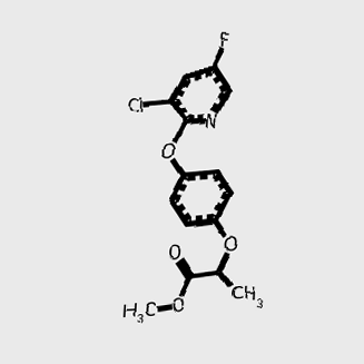 COC(=O)C(C)Oc1ccc(Oc2ncc(F)cc2Cl)cc1